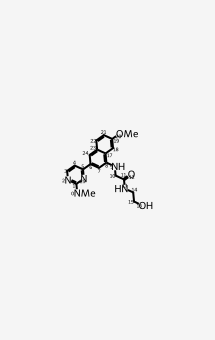 CNc1nccc(-c2cc(NCC(=O)NCCO)c3cc(OC)ccc3c2)n1